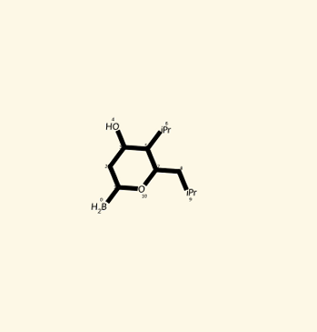 BC1CC(O)C(C(C)C)C(CC(C)C)O1